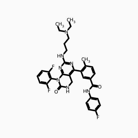 CCN(CC)CCCNc1nc(-c2cc(C(=O)Nc3ccc(F)cc3)ccc2C)c2c(n1)N(c1c(F)cccc1F)C(=O)NC2